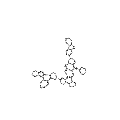 c1ccc(N2c3ccc(-c4ccc5c(c4)oc4ccccc45)cc3Sc3cc4c5cc(-c6ccc7c(c6)c6ccccc6n6c8ccccc8nc76)ccc5c5ccccc5c4cc32)cc1